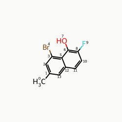 Cc1cc(Br)c2c(O)c(F)ccc2c1